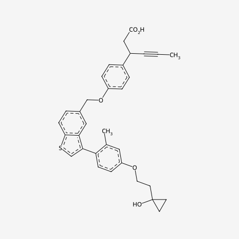 CC#CC(CC(=O)O)c1ccc(OCc2ccc3scc(-c4ccc(OCCC5(O)CC5)cc4C)c3c2)cc1